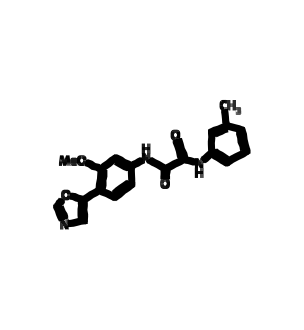 COc1cc(NC(=O)C(=O)Nc2cccc(C)c2)ccc1-c1cnco1